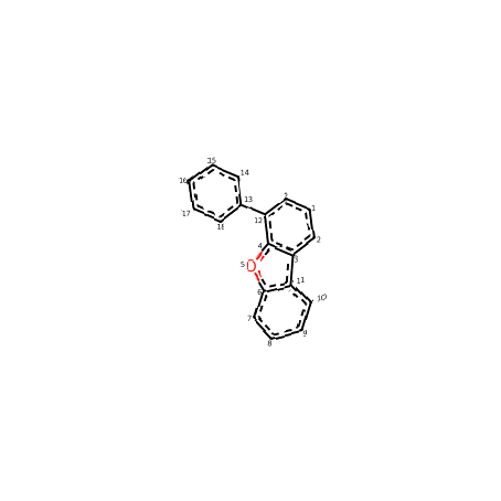 [c]1ccc2c(oc3ccccc32)c1-c1ccccc1